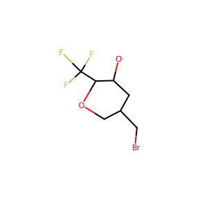 [O]C1CC(CBr)COC1C(F)(F)F